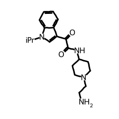 CC(C)n1cc(C(=O)C(=O)NC2CCN(CCN)CC2)c2ccccc21